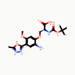 COc1cc(OC[C@H](NC(=O)OC(C)(C)C)C(=O)O)c(N)cc1-c1nnc(C)o1